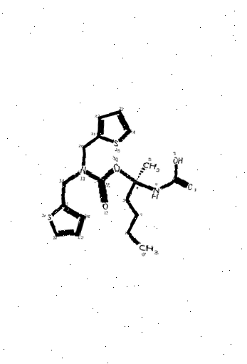 CCCC[C@](C)(NC(=O)O)OC(=O)N(Cc1cccs1)Cc1cccs1